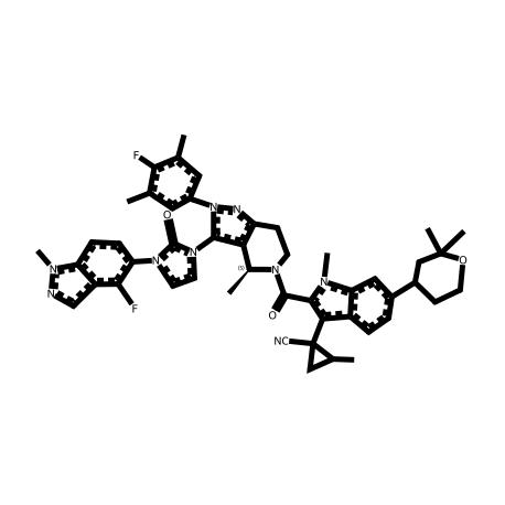 Cc1cc(-n2nc3c(c2-n2ccn(-c4ccc5c(cnn5C)c4F)c2=O)[C@H](C)N(C(=O)c2c(C4(C#N)CC4C)c4ccc(C5CCOC(C)(C)C5)cc4n2C)CC3)cc(C)c1F